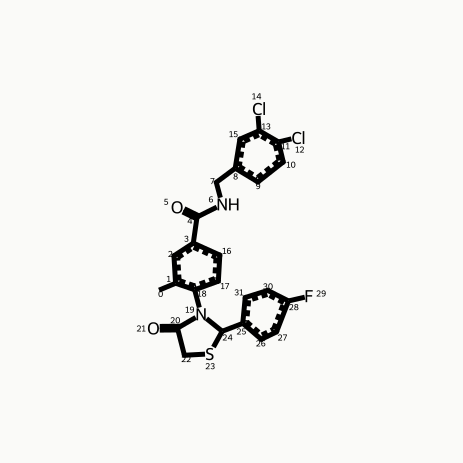 Cc1cc(C(=O)NCc2ccc(Cl)c(Cl)c2)ccc1N1C(=O)CSC1c1ccc(F)cc1